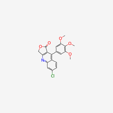 COc1cc(-c2c3c(nc4cc(Cl)ccc24)COC3=O)cc(OC)c1OC